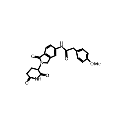 COc1ccc([CH]C(=O)Nc2ccc3c(c2)CN(C2CCC(=O)NC2=O)C3=O)cc1